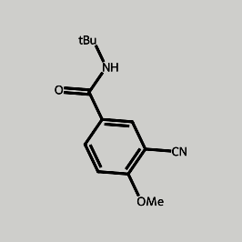 COc1ccc(C(=O)NC(C)(C)C)cc1C#N